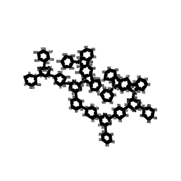 c1ccc(-c2cc(-c3ccc(-c4nc(-c5cccc(-c6ccc(-c7cc(-c8ccccc8)nc(-c8ccc(-c9nc(-c%10ccccc%10)nc(-n%10c%11ccccc%11c%11cc%12c%13ccccc%13n(-c%13ccccc%13)c%12cc%11%10)n9)cc8)n7)cc6)c5)nc(-n5c6ccccc6c6cc7c8ccccc8n(-c8ccccc8)c7cc65)n4)cc3)nc(-c3ccccc3)n2)cc1